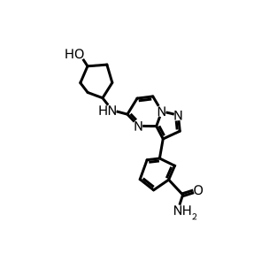 NC(=O)c1cccc(-c2cnn3ccc(NC4CCC(O)CC4)nc23)c1